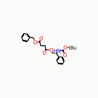 CC(C)(C)OC(=O)N[C@H](COC(=O)CCC(=O)OCc1ccccc1)c1ccccc1